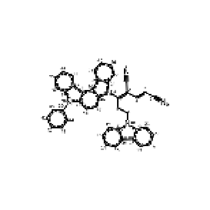 N#C/C=C/C(C#N)=C(\CCn1c2ccccc2c2ccccc21)n1c2ccccc2c2c3c4ccccc4n(-c4ccccc4)c3ccc21